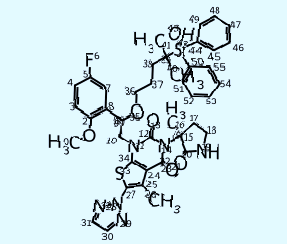 COc1ccc(F)cc1[C@H](Cn1c(=O)n([C@@]2(C)CCNC2=O)c(=O)c2c(C)c(-n3nccn3)sc21)OCCCC(C)(C)[Si](O)(c1ccccc1)c1ccccc1